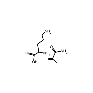 C=C(C)C(N)=O.NCCCC(N)C(=O)O